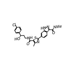 CNC(=O)c1n[nH]c2cc(-c3nc(C)c(C(=O)NCCC(O)c4ccc(Cl)cc4)s3)ccc12